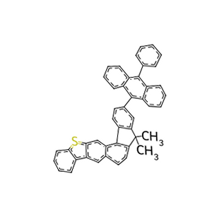 CC1(C)c2cc(-c3c4ccccc4c(-c4ccccc4)c4ccccc34)ccc2-c2c1ccc1cc3c(cc21)sc1ccccc13